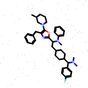 CC1CCCN(c2oc(C(CC3CCC(C(c4ccc(F)cc4)N(C)C)CC3)N(C)c3ccccc3)nc2Cc2ccccc2)C1